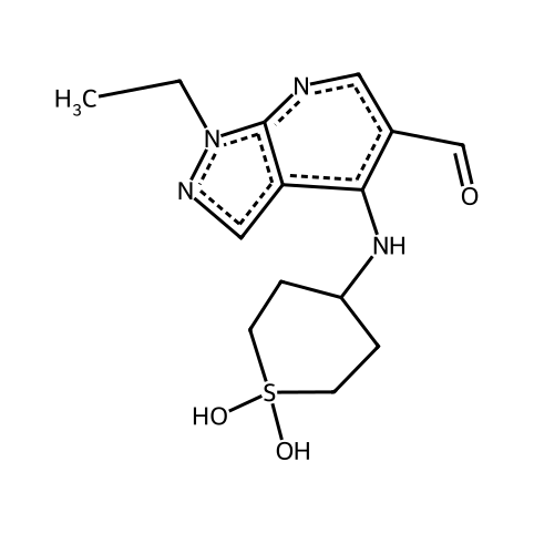 CCn1ncc2c(NC3CCS(O)(O)CC3)c(C=O)cnc21